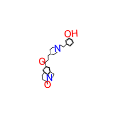 O=C(CCC1CCN(CCc2cccc(O)c2)CC1)c1cc2c3c(c1)CCN3C(=O)CC2